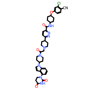 N#Cc1ccc(OC2CCC(NC(=O)c3ccc(C4CCN(CC(=O)N5CCC(n6ccc7c(N8CCC(=O)NC8=O)cccc76)CC5)CC4)nn3)CC2)cc1Cl